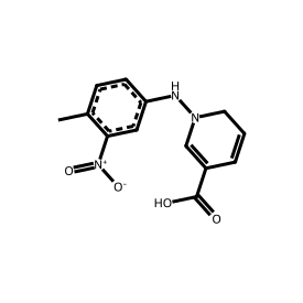 Cc1ccc(NN2C=C(C(=O)O)C=CC2)cc1[N+](=O)[O-]